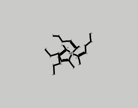 CCC/C=C(/C)[PH](/C(C)=C\CCC)(/C(C)=C\CCC)/C(C)=C\CCC